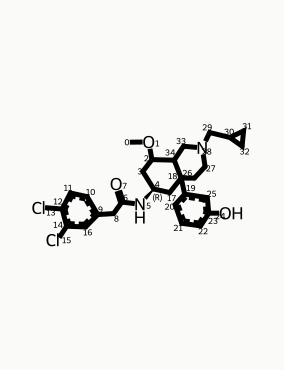 COC1C[C@H](NC(=O)Cc2ccc(Cl)c(Cl)c2)CC2(c3cccc(O)c3)CCN(CC3CC3)CC12